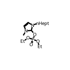 CCCCCCCN1C=CN(C)C1OP(=O)(OCC)OCC